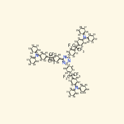 FC(F)(F)C(c1ccc(-c2nc(-c3ccc(C(c4ccc(N(c5ccccc5)c5ccccc5)cc4)(C(F)(F)F)C(F)(F)F)cc3)nc(-c3ccc(C(c4ccc(N(c5ccccc5)c5ccccc5)cc4)(C(F)(F)F)C(F)(F)F)cc3)n2)cc1)(c1ccc(N(c2ccccc2)c2ccccc2)cc1)C(F)(F)F